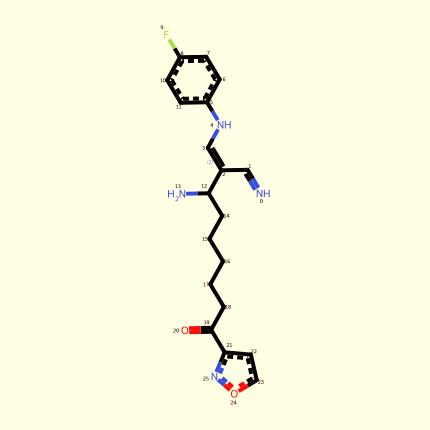 N=C/C(=C\Nc1ccc(F)cc1)C(N)CCCCCC(=O)c1ccon1